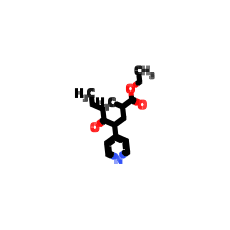 CCCC(=O)C(CC(C)C(=O)OCC)c1ccncc1